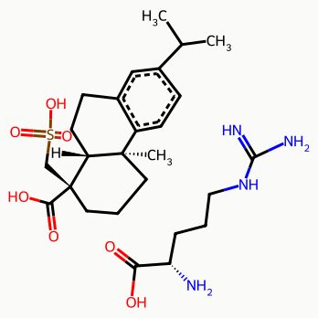 CC(C)c1ccc2c(c1)CC[C@H]1[C@@](CS(=O)(=O)O)(C(=O)O)CCC[C@]21C.N=C(N)NCCC[C@H](N)C(=O)O